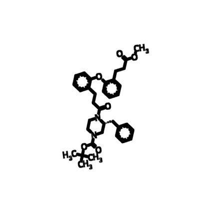 COC(=O)CCc1ccccc1Oc1ccccc1CCC(=O)N1CCN(C(=O)OC(C)(C)C)C[C@H]1Cc1ccccc1